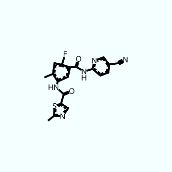 Cc1ncc(C(=O)Nc2cc(C(=O)Nc3ccc(C#N)cn3)c(F)cc2C)s1